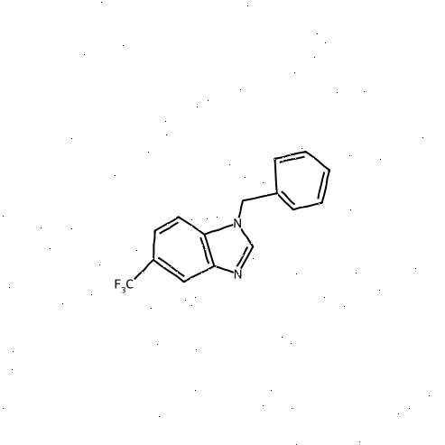 FC(F)(F)c1ccc2c(c1)ncn2Cc1ccccc1